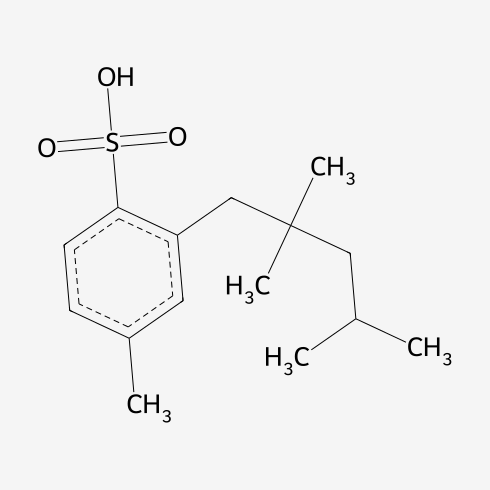 Cc1ccc(S(=O)(=O)O)c(CC(C)(C)CC(C)C)c1